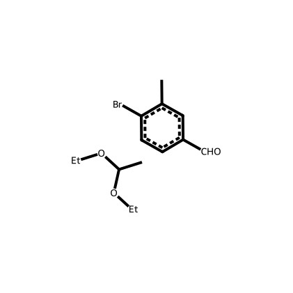 CCOC(C)OCC.Cc1cc(C=O)ccc1Br